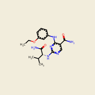 CCOc1cccc(Nc2nc(N[C@@H](C(N)=O)C(C)C)ncc2C(N)=O)c1